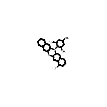 Cc1cc(C(C)(C)C)cc(C)c1N1c2cc3ccccc3cc2Oc2cc3c(C)cccc3cc21